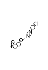 CN1CCc2ccc(OCCCN3CCN(c4ccc(Cl)cc4)CC3)cc2C1=O